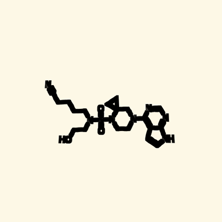 N#CCCCCN(CCO)S(=O)(=O)N1CCN(c2ncnc3[nH]ccc23)CC12CC2